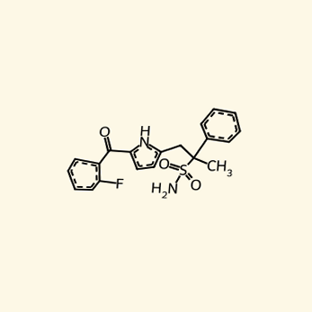 CC(Cc1ccc(C(=O)c2ccccc2F)[nH]1)(c1ccccc1)S(N)(=O)=O